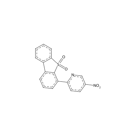 O=[N+]([O-])c1ccc(-c2cccc3c2S(=O)(=O)c2ccccc2-3)nc1